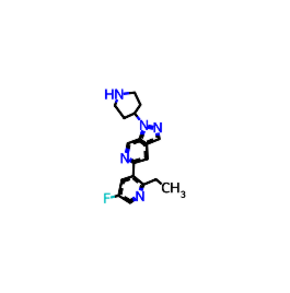 CCc1ncc(F)cc1-c1cc2cnn(C3CCNCC3)c2cn1